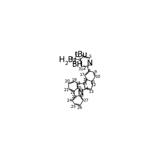 BC(B)(c1ccnc(-c2ccc3ccc4c(c3c2)c2cccc3c5ccccc5n4c32)c1)C(C)(C)C